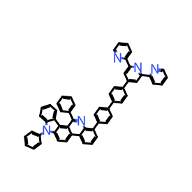 c1ccc(-c2nc3c(-c4ccc(-c5ccc(-c6cc(-c7ccccn7)nc(-c7ccccn7)c6)cc5)cc4)cccc3c3ccc4c(c5ccccc5n4-c4ccccc4)c23)cc1